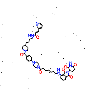 O=C(/C=C/c1cccnc1)NCCCCC1CCN(C(=O)c2ccc(N3CCN(C(=O)CCCCCCNc4cccc5c4C(=O)N(C4CCC(=O)NC4=O)C5=O)CC3)cc2)CC1